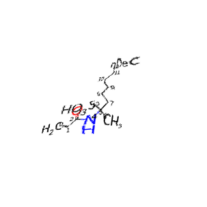 C=CC(=O)NC(C)(CCCCCCCCCCCCCCC)S(=O)(=O)O